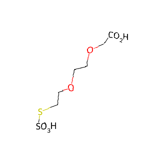 O=C(O)COCCOCCSS(=O)(=O)O